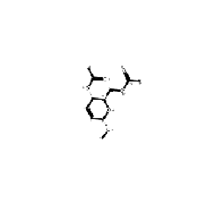 CO[C@@H]1C=C[C@H](OC(C)=O)[C@@H](COC(C)=O)O1